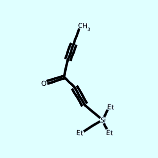 CC#CC(=O)C#C[Si](CC)(CC)CC